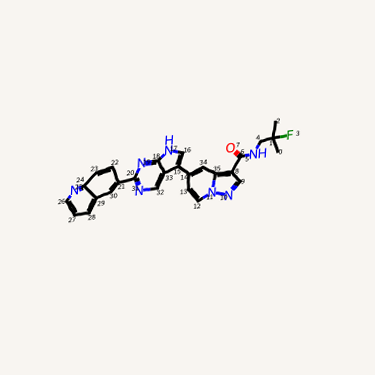 CC(C)(F)CNC(=O)c1cnn2ccc(-c3c[nH]c4nc(-c5ccc6ncccc6c5)ncc34)cc12